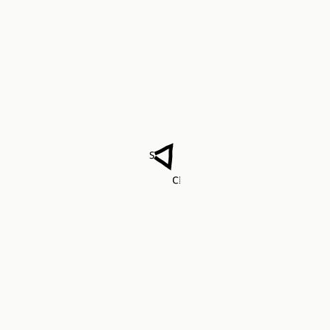 C1CS1.[C]